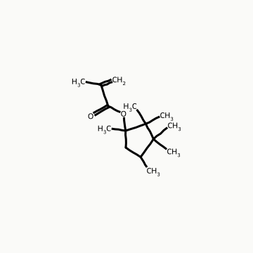 C=C(C)C(=O)OC1(C)CC(C)C(C)(C)C1(C)C